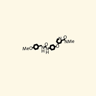 CNC(=O)c1cc(Oc2ccc(NC(=O)NCc3ccc(OC)cc3)cc2)ccn1